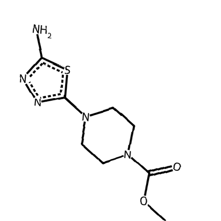 COC(=O)N1CCN(c2nnc(N)s2)CC1